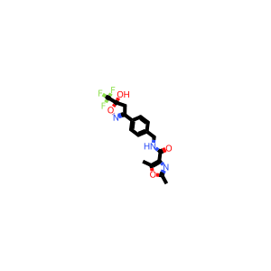 Cc1nc(C(=O)NCc2ccc(C3=NOC(O)(C(F)(F)F)C3)cc2)c(C)o1